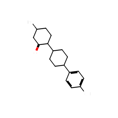 CCCC1CCC(C2CCC(c3ccc(C)cc3)CC2)C(=O)C1